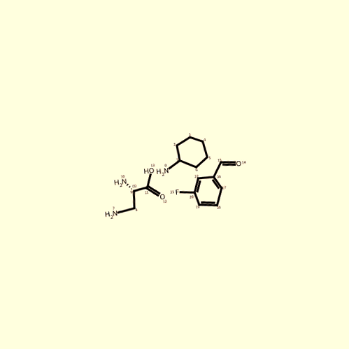 NC1CCCCC1.NC[C@H](N)C(=O)O.O=Cc1cccc(F)c1